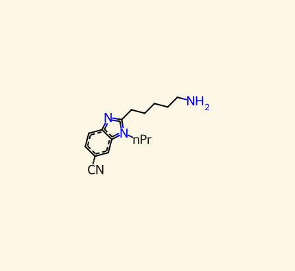 CCCn1c(CCCCCN)nc2ccc(C#N)cc21